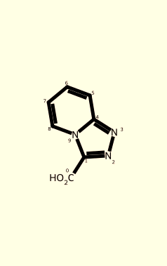 O=C(O)c1nnc2ccccn12